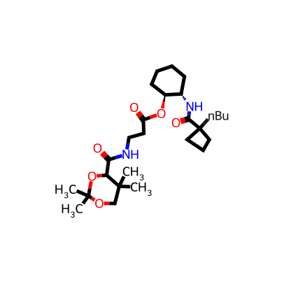 CCCCC1(C(=O)N[C@H]2CCCC[C@@H]2OC(=O)CCNC(=O)C2OC(C)(C)OCC2(C)C)CCC1